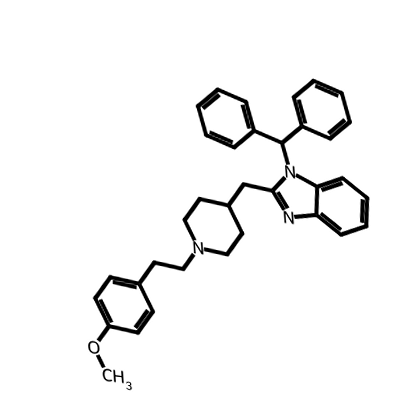 COc1ccc(CCN2CCC(Cc3nc4ccccc4n3C(c3ccccc3)c3ccccc3)CC2)cc1